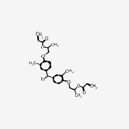 C=CC(=O)OC(C)COc1ccc(C(CC)c2ccc(OCC(C)OC(=O)C=C)c(C)c2)cc1C